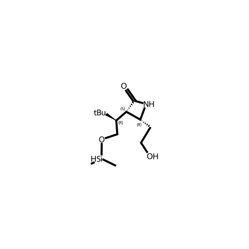 C[SiH](C)OC[C@H]([C@@H]1C(=O)N[C@@H]1CCO)C(C)(C)C